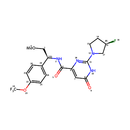 COC[C@@H](NC(=O)c1cc(=O)[nH]c(N2CC[C@@H](F)C2)n1)c1ccc(OC(F)(F)F)cc1